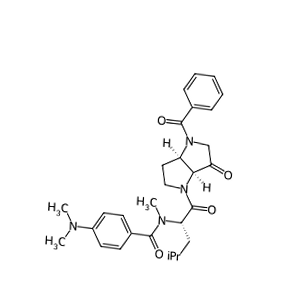 CC(C)C[C@@H](C(=O)N1CC[C@@H]2[C@H]1C(=O)CN2C(=O)c1ccccc1)N(C)C(=O)c1ccc(N(C)C)cc1